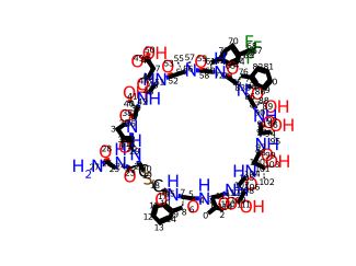 CC(C)C1NC(=O)[C@H](Cc2ccccc2)NC(=O)CSC[C@@H](C(=O)NCC(N)=O)NC(=O)[C@@H]2CCCN2C(=O)[C@H](CO)NC(=O)[C@H](CCC(=O)O)NC(=O)[C@H](C)N(C)C(=O)[C@H](Cc2ccc(C(F)(F)F)cc2)NC(=O)[C@H](Cc2ccccc2)N(C)C(=O)[C@H](CO)NC(=O)[C@H]([C@@H](C)O)NC(=O)[C@H]([C@@H](C)O)NC(=O)[C@H](CC(=O)O)NC1=O